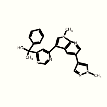 Cn1cc(-c2cnc3c(c2)c(-c2cc(C(C)(O)c4ccccc4)ncn2)cn3C)cn1